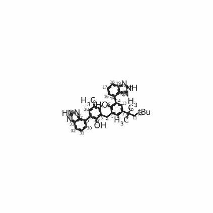 Cc1cc(Cc2cc(C(C)(C)CC(C)(C)C)cc(-c3cccc4n[nH]nc34)c2O)c(O)c(-c2cccc3n[nH]nc23)c1